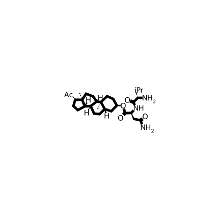 CC(=O)[C@H]1CC[C@H]2[C@@H]3CC[C@H]4C[C@H](OC(=O)[C@H](CC(N)=O)NC(=O)[C@@H](N)C(C)C)CC[C@]4(C)[C@H]3CC[C@]12C